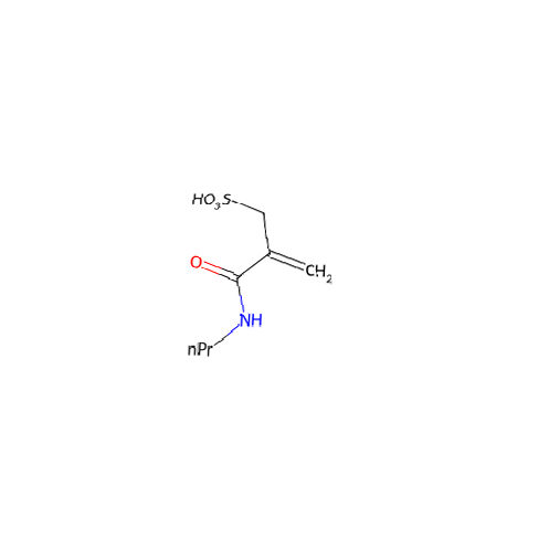 C=C(CS(=O)(=O)O)C(=O)NCCC